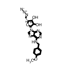 COc1ccc(CNc2ncnc3c2ncn3[C@@H]2O[C@H](CN=[N+]=[N-])[C@H](O)C2O)cc1